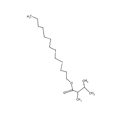 CCCCCCCCCCCCCOC(=O)C(C)C(C)C